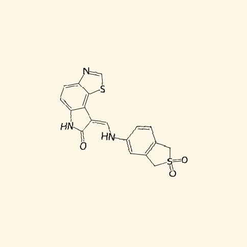 O=C1Nc2ccc3ncsc3c2C1=CNc1ccc2c(c1)CS(=O)(=O)C2